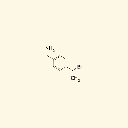 C=C(Br)c1ccc(CN)cc1